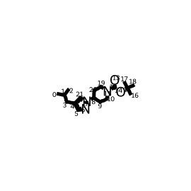 CC(C)Cc1cnn(C2CCN(C(=O)OC(C)(C)C)CC2)c1